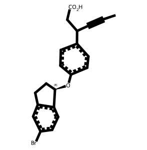 CC#CC(CC(=O)O)c1ccc(O[C@@H]2CCc3cc(Br)ccc32)cc1